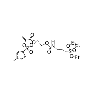 C=C(OS(=O)(=O)c1ccc(C)cc1)C(=O)OCCOC(=O)NCCC[Si](OCC)(OCC)OCC